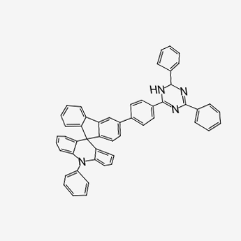 c1ccc(C2=NC(c3ccccc3)NC(c3ccc(-c4ccc5c(c4)-c4ccccc4C54c5ccccc5N(c5ccccc5)c5ccccc54)cc3)=N2)cc1